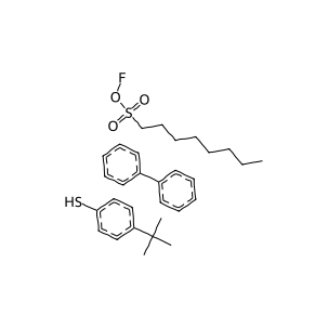 CC(C)(C)c1ccc(S)cc1.CCCCCCCCS(=O)(=O)OF.c1ccc(-c2ccccc2)cc1